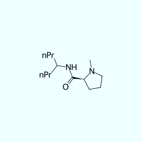 CCCC(CCC)NC(=O)[C@@H]1CCCN1C